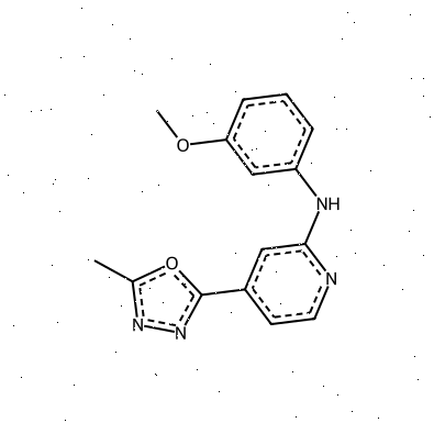 COc1cccc(Nc2cc(-c3nnc(C)o3)ccn2)c1